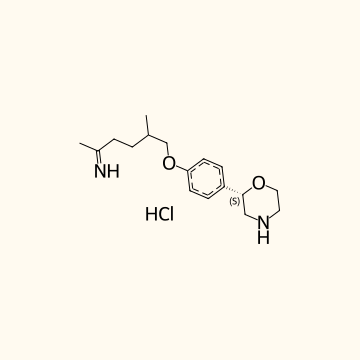 CC(=N)CCC(C)COc1ccc([C@H]2CNCCO2)cc1.Cl